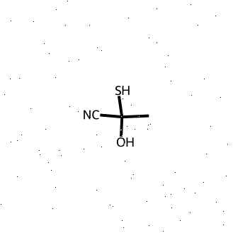 CC(O)(S)C#N